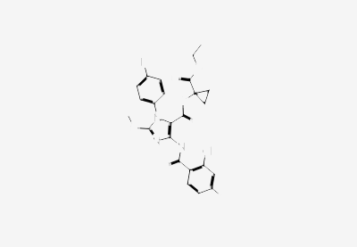 CCOC(=O)C1(OC(=O)c2c(NC(=O)c3ccc(Cl)cc3Cl)nc(OC)n2-c2ccc(F)cc2)CC1